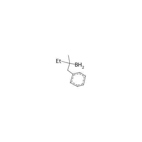 BC(C)(CC)Cc1ccccc1